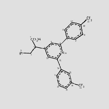 CC(C)CC(C(=O)O)c1cc(-c2ccc(C(F)(F)F)cc2)nc(-c2cccc(C(F)(F)F)c2)c1